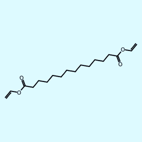 C=COC(=O)CCCCCCCCCCCCC(=O)OC=C